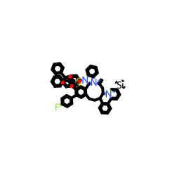 C=C1CC2C(CCc3cc(-c4ccc(F)cc4)c4c(sc5cc(-c6ccccc6)ccc54)c3-c3n(-c4ccc(-c5ccccc5)cc4)c4ccccc4[n+]31)c1ccccc1-c1ccc([Si](C)(C)C)c[n+]12